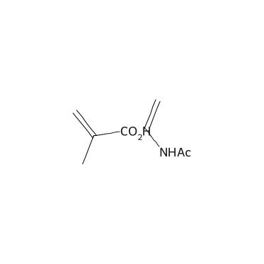 C=C(C)C(=O)O.C=CNC(C)=O